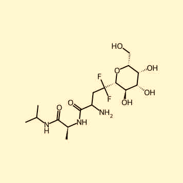 CC(C)NC(=O)[C@H](C)NC(=O)C(N)CC(F)(F)[C@@H]1O[C@H](CO)[C@H](O)[C@H](O)[C@H]1O